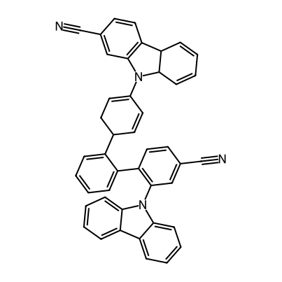 N#Cc1ccc2c(c1)N(C1=CCC(c3ccccc3-c3ccc(C#N)cc3-n3c4ccccc4c4ccccc43)C=C1)C1C=CC=CC21